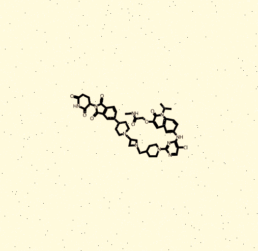 CNC(=O)COc1cc2cc(Nc3nc(N4CCC(CN5CC(N6CCC(c7ccc8c(c7)C(=O)N(C7CCC(=O)NC7=O)C8=O)CC6)C5)CC4)ncc3Cl)ccc2n(C(C)C)c1=O